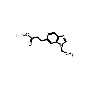 CCn1cnc2ccc(CCC(=O)OC)cc21